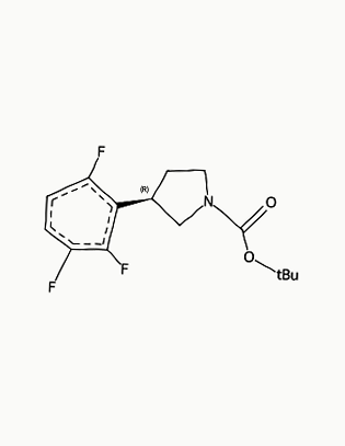 CC(C)(C)OC(=O)N1CC[C@H](c2c(F)ccc(F)c2F)C1